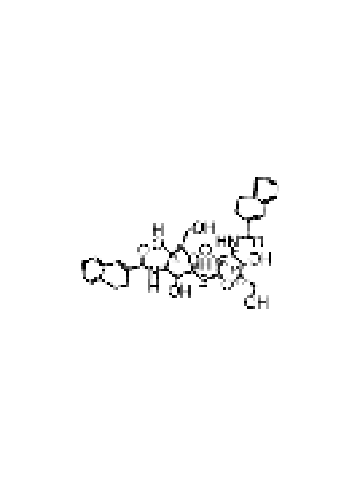 O=C(N[C@H]1[C@@H](O)[C@@H](CO)O[C@@H](S[C@@H]2O[C@H](CO)[C@H](O)[C@H](NC(=O)C3=Cc4ccccc4CC3)[C@H]2O)[C@@H]1O)C1=Cc2ccccc2CC1